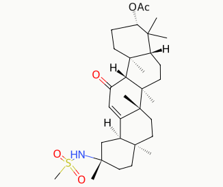 CC(=O)O[C@H]1CC[C@]2(C)[C@H]3C(=O)C=C4[C@@H]5C[C@@](C)(NS(C)(=O)=O)CC[C@]5(C)CC[C@@]4(C)[C@]3(C)CC[C@H]2C1(C)C